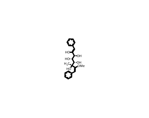 COC(=Cc1ccccc1)[C@](C)(O)[C@@H](O)[C@H](O)[C@H](O)C(O)=Cc1ccccc1